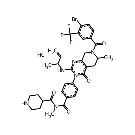 C=CC(C)Nc1nc2c(c(=O)n1-c1ccc(C(=O)N(C)C(=O)C3CCNCC3)cc1)CC(C)N(C(=O)c1ccc(Br)c(C(F)(F)F)c1)C2.Cl